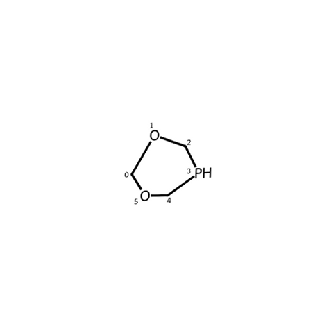 C1OCPCO1